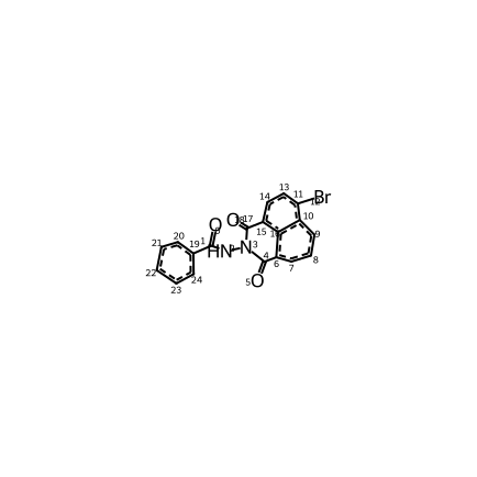 O=C(NN1C(=O)c2cccc3c(Br)ccc(c23)C1=O)c1ccccc1